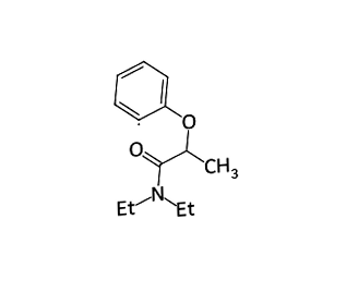 CCN(CC)C(=O)C(C)Oc1[c]cccc1